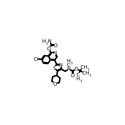 CN(Cc1nc(-c2cnc(OC(N)=O)c3cc(Cl)ccc23)sc1C1CCOCC1)C(=O)OC(C)(C)C